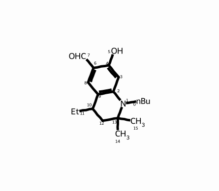 CCCCN1c2cc(O)c(C=O)cc2C(CC)CC1(C)C